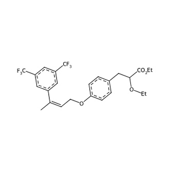 CCOC(=O)C(Cc1ccc(OCC=C(C)c2cc(C(F)(F)F)cc(C(F)(F)F)c2)cc1)OCC